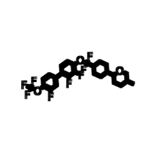 CC1CCC(C2CCC(C(F)(F)Oc3ccc(-c4ccc(OC(F)(F)F)c(F)c4)c(F)c3F)CC2)OC1